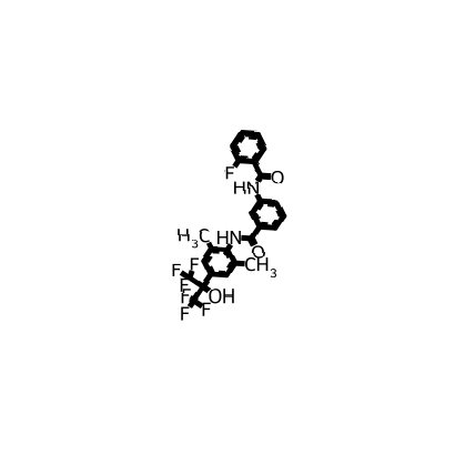 Cc1cc(C(O)(C(F)(F)F)C(F)(F)F)cc(C)c1NC(=O)c1cccc(NC(=O)c2ccccc2F)c1